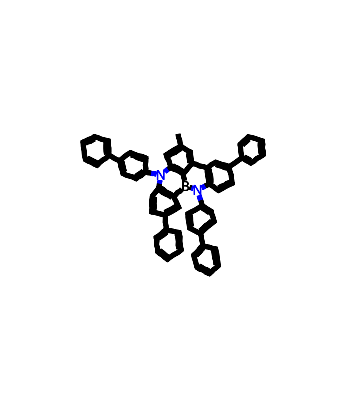 Cc1cc2c3c(c1)N(c1ccc(-c4ccccc4)cc1)c1ccc(-c4ccccc4)cc1B3N(c1ccc(-c3ccccc3)cc1)c1ccc(-c3ccccc3)cc1-2